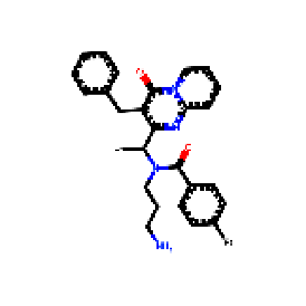 CCc1ccc(C(=O)N(CCCN)C(CC)c2nc3ccccn3c(=O)c2Cc2ccccc2)cc1